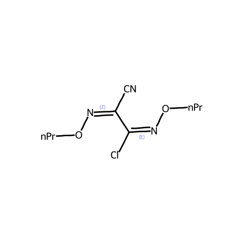 CCCO/N=C(C#N)\C(Cl)=N/OCCC